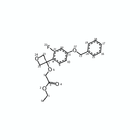 CCOC(=O)COC1(c2ccc(OCc3ccccc3)cc2F)COC1